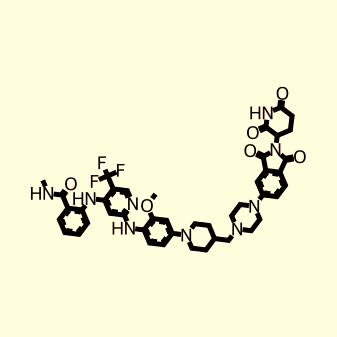 CNC(=O)c1ccccc1Nc1cc(Nc2ccc(N3CCC(CN4CCN(c5ccc6c(c5)C(=O)N(C5CCC(=O)NC5=O)C6=O)CC4)CC3)cc2OC)ncc1C(F)(F)F